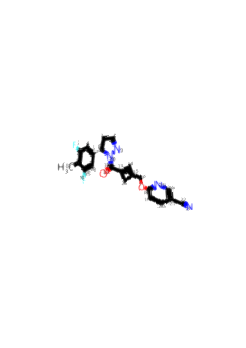 Cc1c(F)cc([C@@H]2CC=NN2C(=O)C23CC(COc4ccc(C#N)cn4)(C2)C3)cc1F